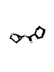 O=C(OC1C2CCOC21)c1ccccc1